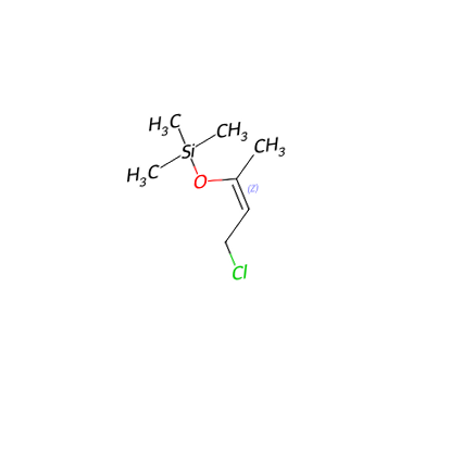 C/C(=C/CCl)O[Si](C)(C)C